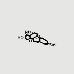 C[C@]12CC[C@H]3[C@@H](CCC4C=C(O)C=C[C@@]43C)[C@@H]1C[C@@H](O)[C@H]2N